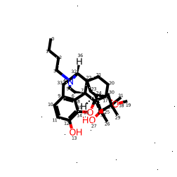 CCCCN1CC[C@]23c4c5ccc(O)c4O[C@H]2[C@@]2(OC)CCC3(C[C@@H]2C(C)(O)C(C)(C)C)[C@H]1C5